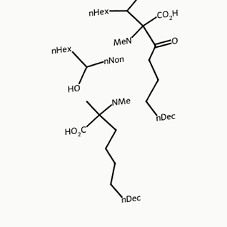 CCCCCCCCCC(O)CCCCCC.CCCCCCCCCCCCCC(=O)C(NC)(C(=O)O)C(CCCCCC)CCCCCCCCCC.CCCCCCCCCCCCCCC(C)(NC)C(=O)O